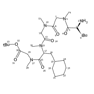 CC[C@H](C)[C@H](N)C(=O)N(C)CC(=O)N(C)CC(=O)N(C)C(CC1CCCCC1)C(=O)N(C)CC(=O)OC(C)(C)C